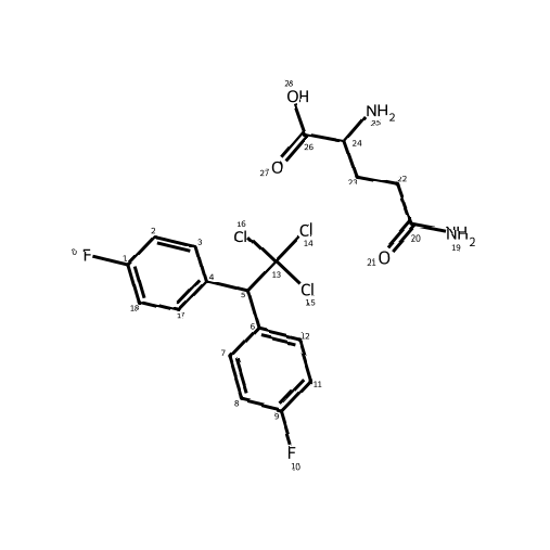 Fc1ccc(C(c2ccc(F)cc2)C(Cl)(Cl)Cl)cc1.NC(=O)CCC(N)C(=O)O